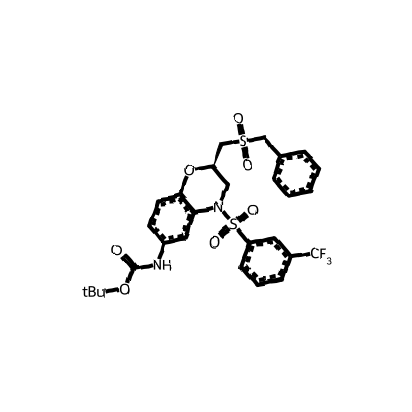 CC(C)(C)OC(=O)Nc1ccc2c(c1)N(S(=O)(=O)c1cccc(C(F)(F)F)c1)C[C@H](CS(=O)(=O)Cc1ccccc1)O2